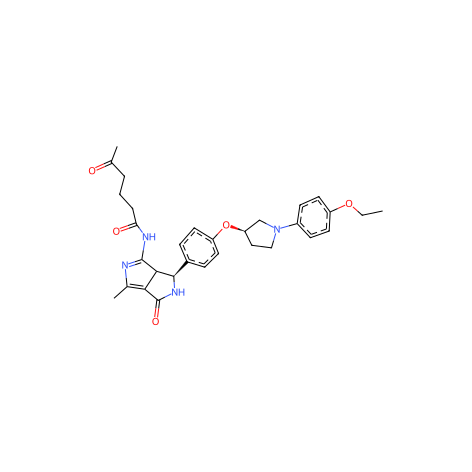 CCOc1ccc(N2CC[C@@H](Oc3ccc([C@H]4NC(=O)C5=C(C)N=C(NC(=O)CCCC(C)=O)C54)cc3)C2)cc1